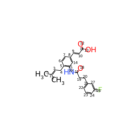 CC(C)=CCc1ccc(/C=C/C(=O)O)cc1NC(=O)CCc1cccc(F)c1